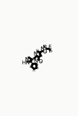 O=C1c2cc(-c3nnc(C(F)F)o3)cnc2CN1[C@@H]1CCCC[C@H]1c1ccn[nH]1